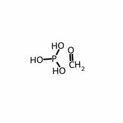 C=O.OP(O)O